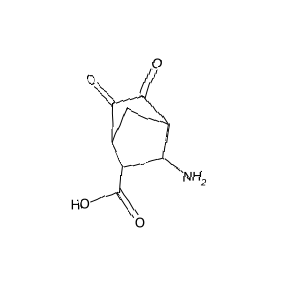 NC1C2CC(C(=O)C2=O)C1C(=O)O